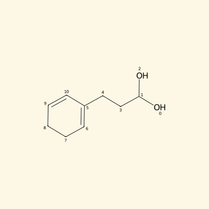 OC(O)CCC1=CCCC=C1